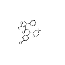 CC1(C)CCOC([C@H](CC(=O)N2C(=O)OC[C@H]2c2ccccc2)c2ccc(Cl)cc2)C1